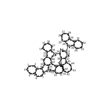 c1ccc2c(c1)ccc1c2c2cc3c4ccccc4n(-c4nc(-n5c6ccccc6c6ccccc65)nc5c4sc4ccccc45)c3c3c4ccccc4n1c23